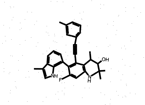 Cc1cccc(C#Cc2c(-c3cccc4c(C)c[nH]c34)c(F)cc3c2C(C)C(O)C(C)(C)N3)c1